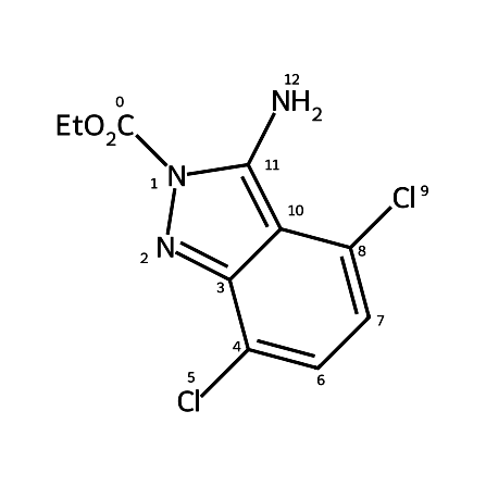 CCOC(=O)n1nc2c(Cl)ccc(Cl)c2c1N